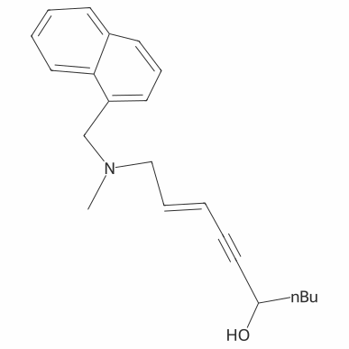 CCCCC(O)C#CC=CCN(C)Cc1cccc2ccccc12